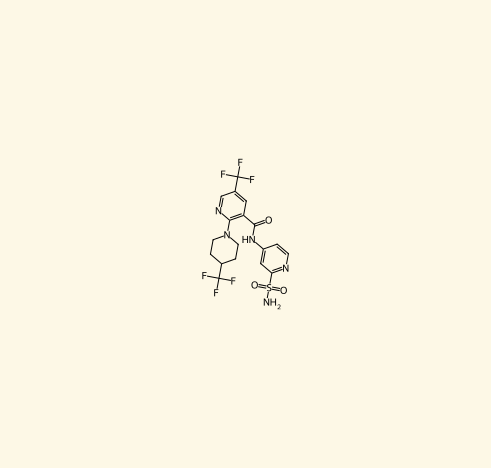 NS(=O)(=O)c1cc(NC(=O)c2cc(C(F)(F)F)cnc2N2CCC(C(F)(F)F)CC2)ccn1